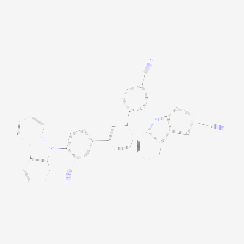 N#Cc1ccc(C2C=C(c3ccc(N4C5=C(C=CCC5)C5C=CC=CC54)c(C#N)c3)C=CC2)c(-n2c3c(c4cc(C#N)ccc42)CCC=C3)c1